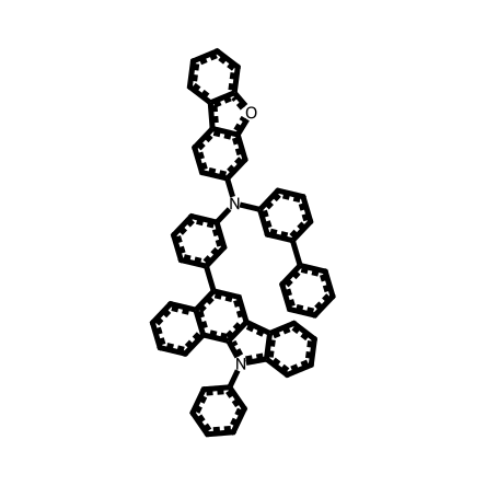 c1ccc(-c2cccc(N(c3cccc(-c4cc5c6ccccc6n(-c6ccccc6)c5c5ccccc45)c3)c3ccc4c(c3)oc3ccccc34)c2)cc1